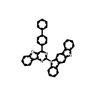 c1ccc(-c2ccc(-c3nc(-n4c5ccccc5c5cc6sc7ccccc7c6cc54)nc4c3oc3ccccc34)cc2)cc1